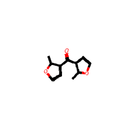 CC1OCCC1C(=O)C1CCOC1C